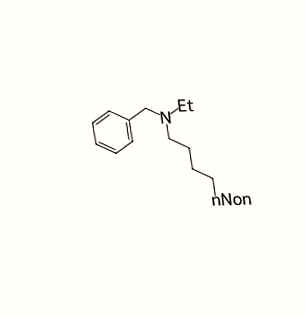 CCCCCCCCCCCCCN(CC)Cc1ccccc1